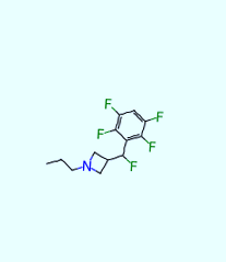 CCCN1CC(C(F)c2c(F)c(F)cc(F)c2F)C1